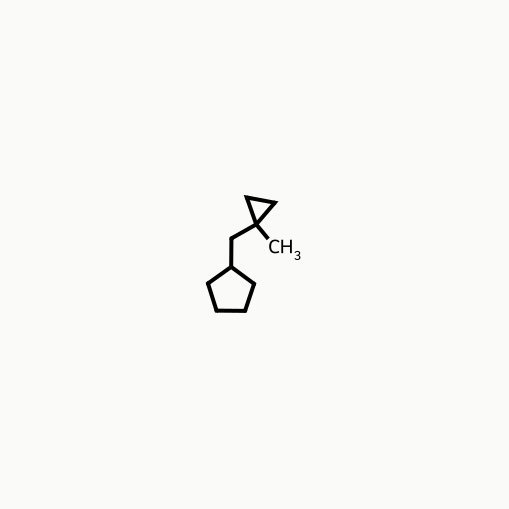 CC1(CC2CCCC2)CC1